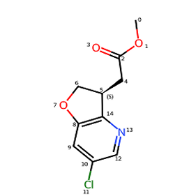 COC(=O)C[C@@H]1COc2cc(Cl)cnc21